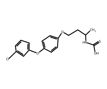 CC(CCOc1ccc(Oc2cccc(Cl)c2)cc1)NC(O)=S